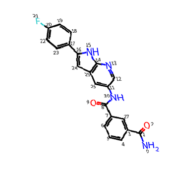 NC(=O)c1cccc(C(=O)Nc2cnc3[nH]c(-c4ccc(F)cc4)cc3c2)c1